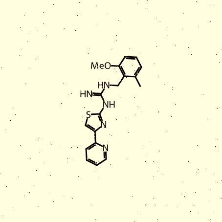 COc1cccc(C)c1CNC(=N)Nc1nc(-c2ccccn2)cs1